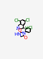 CN1Cc2c(Cl)cc(Cl)cc2[C@H](c2ccccc2N2C(=O)CNC2=O)C1.Cl